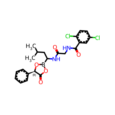 CC(C)CC(NC(=O)CNC(=O)c1cc(Cl)ccc1Cl)B1OC(=O)[C@@H](c2ccccc2)O1